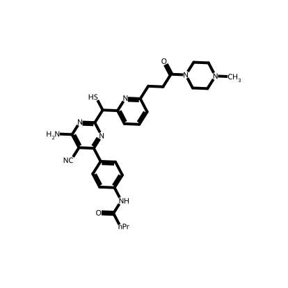 CCCC(=O)Nc1ccc(-c2nc(C(S)c3cccc(CCC(=O)N4CCN(C)CC4)n3)nc(N)c2C#N)cc1